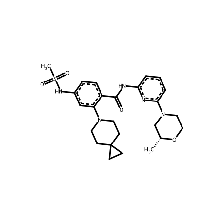 C[C@@H]1CN(c2cccc(NC(=O)c3ccc(NS(C)(=O)=O)cc3N3CCC4(CC3)CC4)n2)CCO1